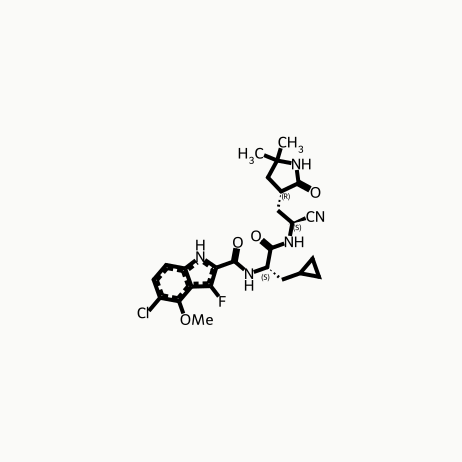 COc1c(Cl)ccc2[nH]c(C(=O)N[C@@H](CC3CC3)C(=O)N[C@H](C#N)C[C@@H]3CC(C)(C)NC3=O)c(F)c12